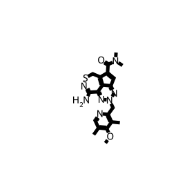 COc1c(C)cnc(Cn2nc3cc(C(=O)N(C)C)c4c-3c(n2)C(N)=NSC4)c1C